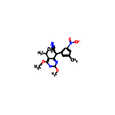 COc1nc(OC)c(C(C)C)c(C(C#N)c2cc(C)cc([N+](=O)[O-])c2)n1